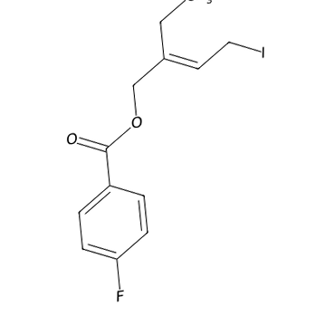 CCC(=CCI)COC(=O)c1ccc(F)cc1